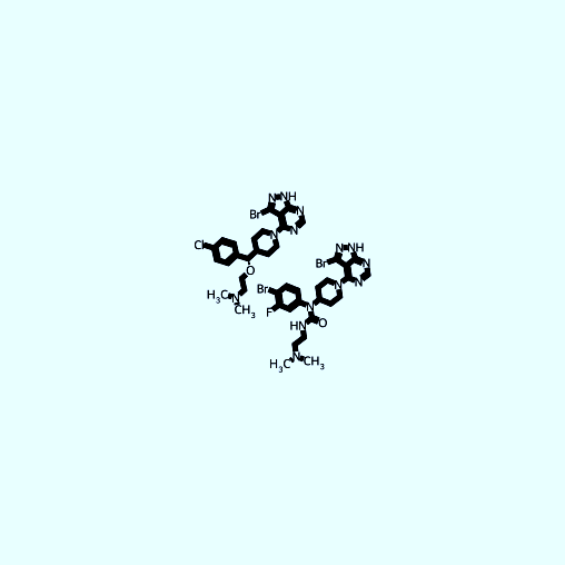 CN(C)CCNC(=O)N(c1ccc(Br)c(F)c1)C1CCN(c2ncnc3[nH]nc(Br)c23)CC1.CN(C)CCO[C@H](c1ccc(Cl)cc1)C1CCN(c2ncnc3[nH]nc(Br)c23)CC1